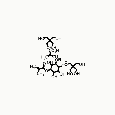 C=C(C)C(=O)O.C=C(C)C(=O)OC1C(O)C(O)C(O)C(O)C1O.OCC(CO)(CO)CO.OCC(CO)(CO)CO